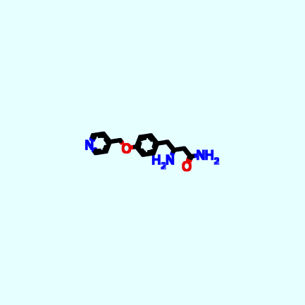 NC(=O)CC(N)Cc1ccc(OCc2ccncc2)cc1